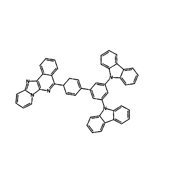 C1=CC(c2nc3c(nc4ccccn43)c3ccccc23)CC=C1c1cc(-n2c3ccccc3c3ccccc32)cc(-n2c3ccccc3c3ccccc32)c1